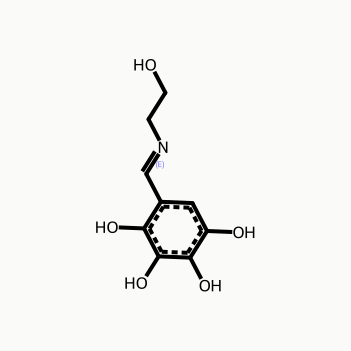 OCC/N=C/c1cc(O)c(O)c(O)c1O